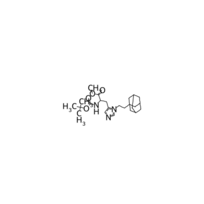 COC(=O)C(Cc1cncn1CCC12CC3CC(CC(C3)C1)C2)NC(=O)OC(C)(C)C